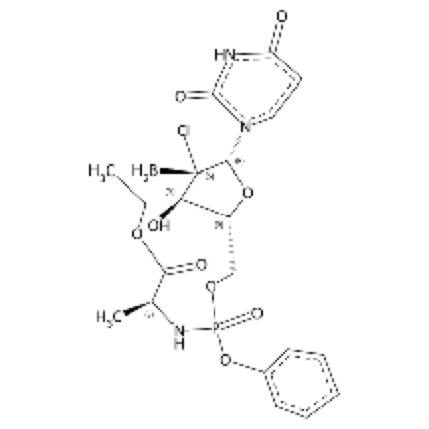 B[C@]1(Cl)[C@H](O)[C@@H](COP(=O)(N[C@@H](C)C(=O)OCC)Oc2ccccc2)O[C@H]1n1ccc(=O)[nH]c1=O